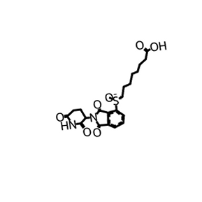 O=C(O)CCCCCCC[S+]([O-])c1cccc2c1C(=O)N(C1CCC(=O)NC1=O)C2=O